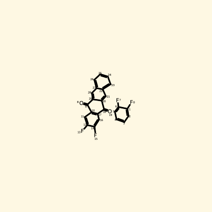 Fc1ccccc1F.O=C1c2cc(F)c(F)cc2C(=O)c2cc3ccccc3cc21